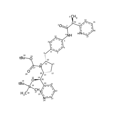 C[C@H](C(=O)Nc1ccc(C[C@@H]2CC[C@H]([C@H](O[Si](C)(C)C(C)(C)C)c3cccnc3)N2C(=O)OC(C)(C)C)cc1)c1ccccn1